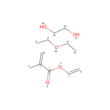 C=COC(=O)C(=C)C.CCOCC.OCCO